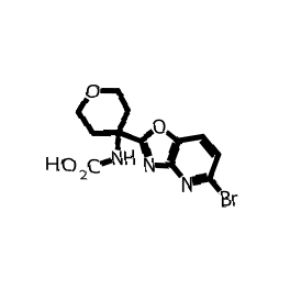 O=C(O)NC1(c2nc3nc(Br)ccc3o2)CCOCC1